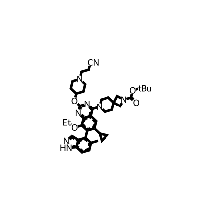 CCOc1c(-c2c(C)ccc3[nH]ncc23)c(C2CC2)cc2c(N3CCC4(CC3)CN(C(=O)OC(C)(C)C)C4)nc(OC3CCN(CCC#N)CC3)nc12